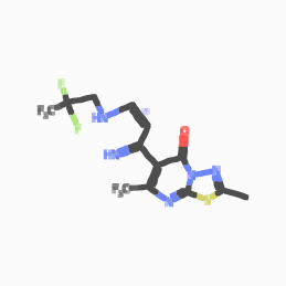 Cc1nn2c(=O)c(C(=N)/C=C\NCC(F)(F)C(F)(F)F)c(C(F)(F)F)nc2s1